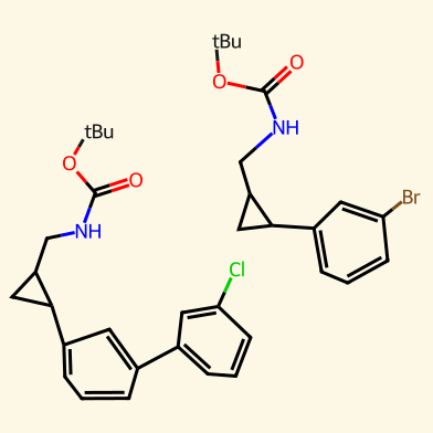 CC(C)(C)OC(=O)NCC1CC1c1cccc(-c2cccc(Cl)c2)c1.CC(C)(C)OC(=O)NCC1CC1c1cccc(Br)c1